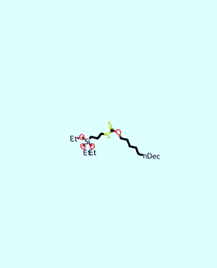 CCCCCCCCCCCCCCCOC(=S)SCCC[Si](OCC)(OCC)OCC